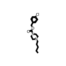 CCCCCN1CCN(C(=O)OCc2ccc(Cl)cc2)CC1